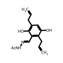 C=CCc1cc(O)c(CC=C)c(C=NNC(C)=O)c1O